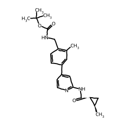 Cc1cc(-c2ccnc(NC(=O)[C@@H]3C[C@H]3C)c2)ccc1CNC(=O)OC(C)(C)C